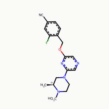 C[C@H]1CN(c2cncc(OCc3ccc(C#N)cc3F)n2)CCN1C(=O)O